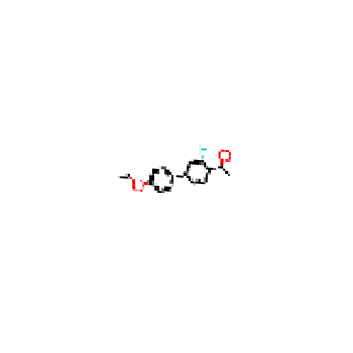 CCOc1ccc(-c2ccc(C(C)=O)c(F)c2)cc1